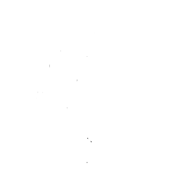 CCCCCCCCCCCCP(=O)([O-])OCC[N+](C)(C)C